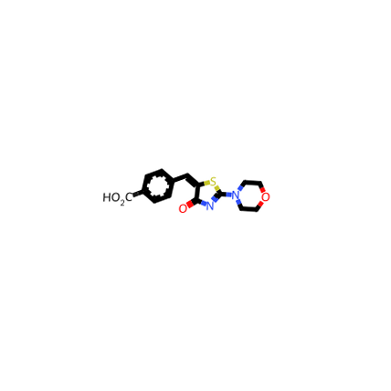 O=C1N=C(N2CCOCC2)S/C1=C/c1ccc(C(=O)O)cc1